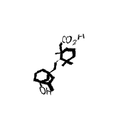 C=C1C[C@@]2(CC[C@H]3C(C)(C)CCC[C@@]3(C)CC(=O)O)CCC[C@]1(O)C2